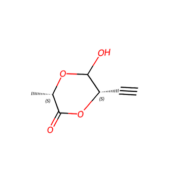 C#C[C@@H]1OC(=O)[C@H](C)OC1O